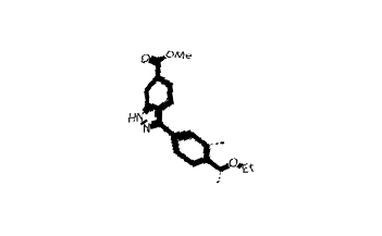 CCO[C@H](C)C1CCC(c2n[nH]c3c2CCC(C(=O)OC)C3)=C[C@@H]1C